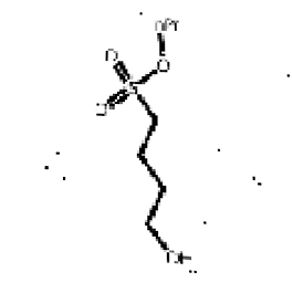 CCCOS(=O)(=O)CCCCO